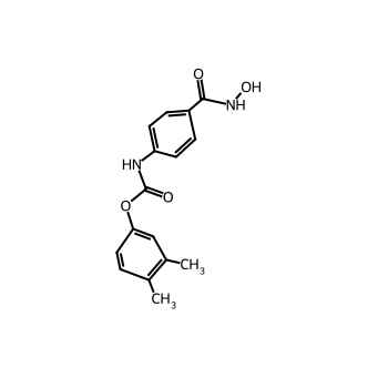 Cc1ccc(OC(=O)Nc2ccc(C(=O)NO)cc2)cc1C